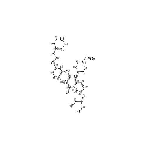 O=CN1CCC(n2c(=O)n(Cc3ccc(OCCN4CCOCC4)cc3)c(=O)c3cc(OC(CF)CF)ccc32)CC1